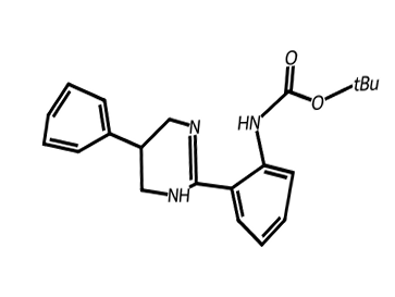 CC(C)(C)OC(=O)Nc1ccccc1C1=NCC(c2ccccc2)CN1